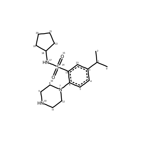 CC(C)c1ccc(N2CCNCC2)c(S(=O)(=O)NC2CCCC2)c1